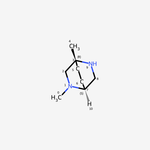 CN1C[C@@]2(C)CC[C@H]1CN2